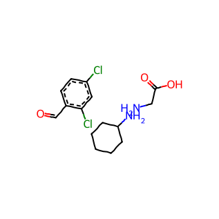 NC1CCCCC1.NCC(=O)O.O=Cc1ccc(Cl)cc1Cl